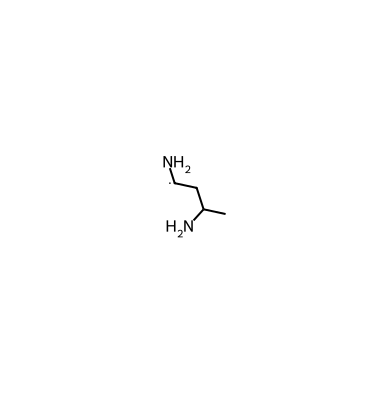 CC(N)C[CH]N